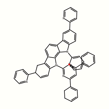 C1=CCCC(c2cc(-c3ccccc3)nc(-n3c4c(c5ccc6c7cc(-c8ccccn8)ccc7n(-c7ccccc7)c6c53)CC(c3ccccn3)C=C4)n2)=C1